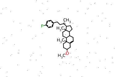 COC1CCC2(C)C(=CCC3C2CCC2(C)C3CCC2[C@@H](C)CCc2ccc(F)cc2)C1